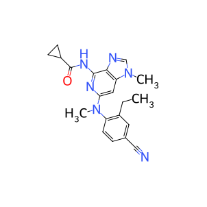 CCc1cc(C#N)ccc1N(C)c1cc2c(ncn2C)c(NC(=O)C2CC2)n1